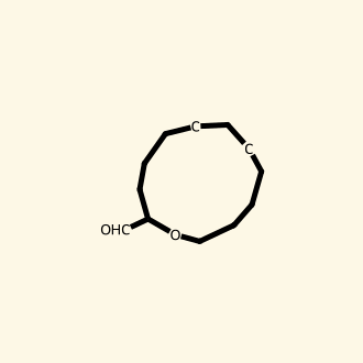 O=CC1CCCCCCCCCCO1